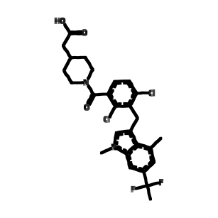 Cc1cc(C(C)(F)F)cc2c1c(Cc1c(Cl)ccc(C(=O)N3CCC(CC(=O)O)CC3)c1Cl)cn2C